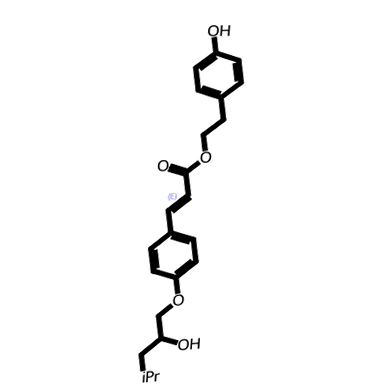 CC(C)CC(O)COc1ccc(/C=C/C(=O)OCCc2ccc(O)cc2)cc1